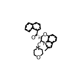 Cc1cc2cccc3c2n1C(CN1CCOCC1)[C@H](C(=O)c1cccc2ccccc12)O3